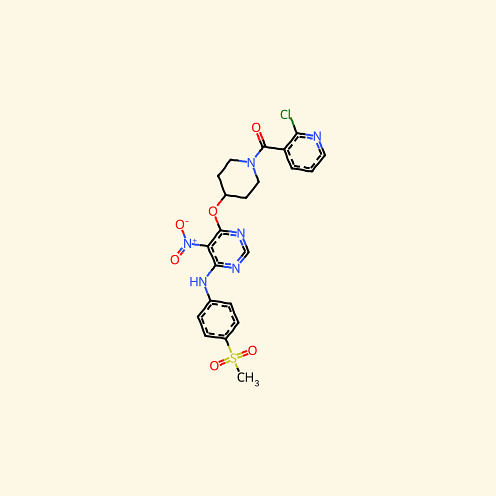 CS(=O)(=O)c1ccc(Nc2ncnc(OC3CCN(C(=O)c4cccnc4Cl)CC3)c2[N+](=O)[O-])cc1